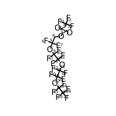 O=S(=O)(OCC(F)(F)OC(F)(F)C(F)(F)OC(F)(F)C(F)(F)OC(F)(F)C(F)(F)F)C(F)(F)F